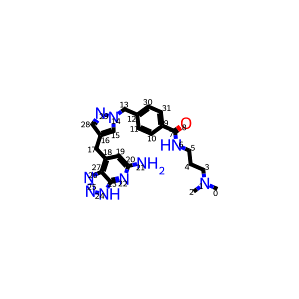 CN(C)CCCNC(=O)c1ccc(Cn2cc(Cc3cc(N)nc4[nH]nnc34)cn2)cc1